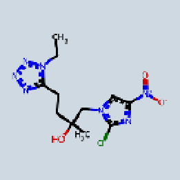 CCn1nnnc1CCC(C)(O)Cn1cc([N+](=O)[O-])nc1Cl